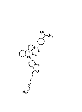 CCOCCCOC(=O)c1ccc(NC(=O)[C@@H]2[C@H](C3CCCCC3)CCN2C(=O)[C@H]2CC[C@H](C(C)N)CC2)cc1F